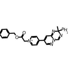 CC1(P)N=CN2N=CC(c3cc[n+](CC(=O)OCc4ccccc4)cc3)=CC2=N1